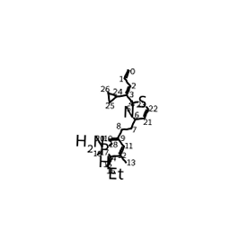 C=C/C=C(/C1=NC(CCC(=C)/C=C(C)\C(=C/CC)[PH](C)(C)N)C=CS1)C1CC1